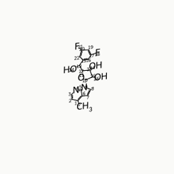 Cc1ccnc2c1ccn2[C@@H]1O[C@H]([C@@H](O)c2cc(F)cc(F)c2)[C@@H](O)[C@H]1O